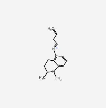 C=CC/C=N/c1cccc2c1CCC(C)N2C